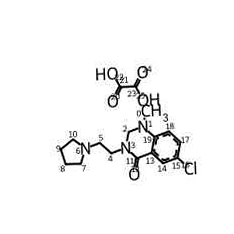 CN1CN(CCN2CCCC2)C(=O)c2cc(Cl)ccc21.O=C(O)C(=O)O